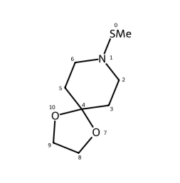 CSN1CCC2(CC1)OCCO2